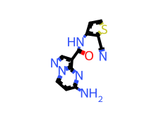 N#Cc1sccc1NC(=O)c1cnn2ccc(N)nc12